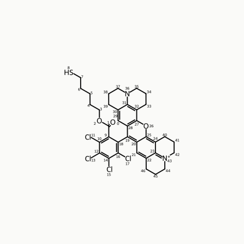 O=C(OCCCCCS)c1c(Cl)c(Cl)c(Cl)c(Cl)c1C1=c2cc3c4c(c2Oc2c1cc1c5c2CCCN5CCC1)CCC[N+]=4CCC3